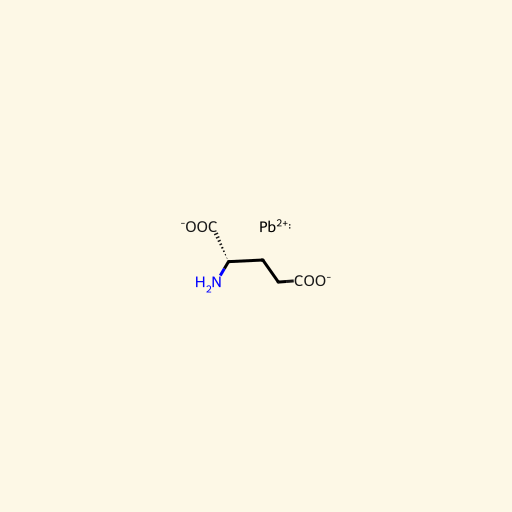 N[C@@H](CCC(=O)[O-])C(=O)[O-].[Pb+2]